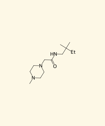 CCC(C)(C)CNC(=O)CN1CCN(C)CC1